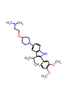 COc1ccc(-c2[nH]c3ccc(N4CCC(OCCN(C)C)CC4)cc3c2C(C)C)cc1OC